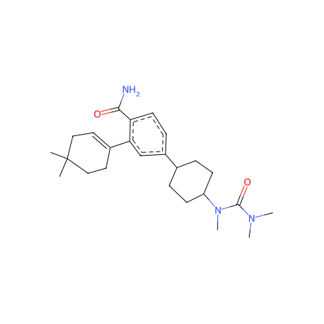 CN(C)C(=O)N(C)C1CCC(c2ccc(C(N)=O)c(C3=CCC(C)(C)CC3)c2)CC1